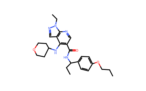 CCCOc1ccc(C(CC)NC(=O)c2cnc3c(cnn3CC)c2NC2CCOCC2)cc1